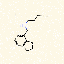 CC(C)(C)CC[C@H](NCc1cccc2c1CCC2)C(=O)O